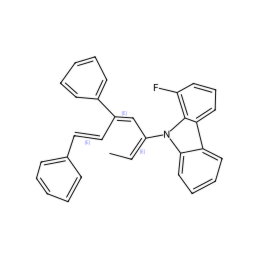 C\C=C(/C=C(\C=C\c1ccccc1)c1ccccc1)n1c2ccccc2c2cccc(F)c21